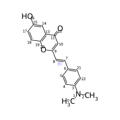 CN(C)c1ccc(/C=C/c2cc(=O)c3cc(O)ccc3o2)cc1